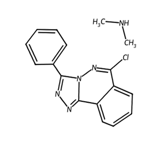 CNC.Clc1nn2c(-c3ccccc3)nnc2c2ccccc12